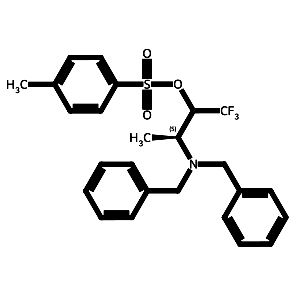 Cc1ccc(S(=O)(=O)OC([C@H](C)N(Cc2ccccc2)Cc2ccccc2)C(F)(F)F)cc1